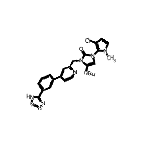 CCCCc1cn(-c2c(Cl)ccn2C)c(=O)n1Cc1cc(-c2cccc(-c3nnn[nH]3)c2)ccn1